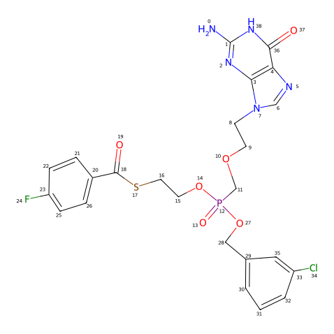 Nc1nc2c(ncn2CCOCP(=O)(OCCSC(=O)c2ccc(F)cc2)OCc2cccc(Cl)c2)c(=O)[nH]1